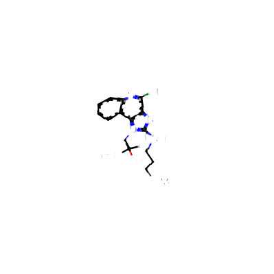 COCCCNc1nc2c(Cl)nc3ccccc3c2n1CC(C)(C)O